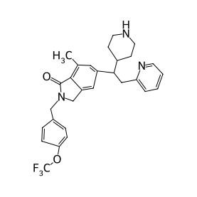 Cc1cc(C(Cc2ccccn2)C2CCNCC2)cc2c1C(=O)N(Cc1ccc(OC(F)(F)F)cc1)C2